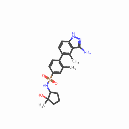 Cc1cc(S(=O)(=O)NC2CCCC2(C)O)ccc1-c1ccc2[nH]nc(N)c2c1C